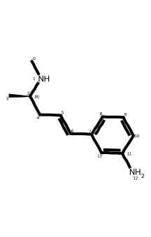 CN[C@H](C)CC=Cc1cccc(N)c1